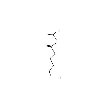 CCCCCC(O)OC(=O)CCCCC(=O)O